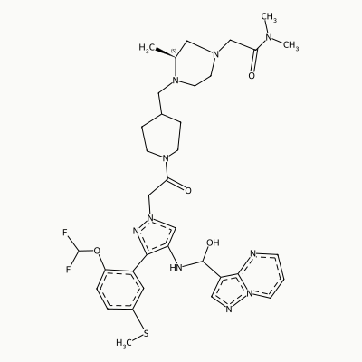 CSc1ccc(OC(F)F)c(-c2nn(CC(=O)N3CCC(CN4CCN(CC(=O)N(C)C)C[C@@H]4C)CC3)cc2NC(O)c2cnn3cccnc23)c1